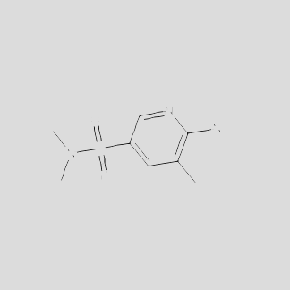 Cc1cc(S(=O)(=O)N(C)C)cnc1N